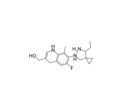 CCC(N)C1(CNc2c(F)cc3c(c2C)NC=C(CO)C3)CC1